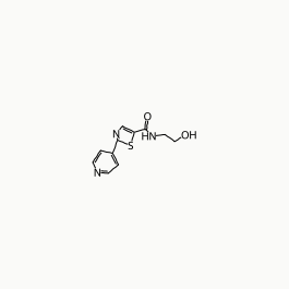 O=C(NCCO)c1cnc(-c2ccncc2)s1